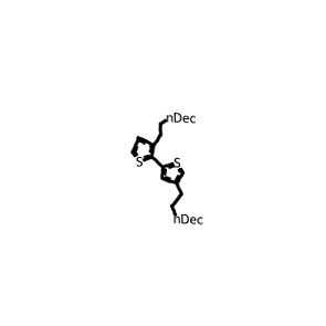 CCCCCCCCCCCCc1csc(-c2sccc2CCCCCCCCCCCC)c1